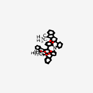 CCC1(CC)c2ccccc2-c2ccc(N(c3ccccc3-c3ccc4c(c3)-c3ccccc3C4(C)C)c3ccccc3-c3cccc4c3-c3ccccc3C4(C)C)cc21